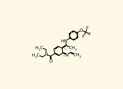 C=C/N=C1/C=C(C(=O)N(CC)CC)C=C/C1=C(/C)Nc1ccc(OC(F)(F)F)cc1